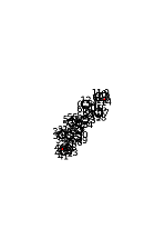 c1ccc2c(C3C4CC5CC(C4)CC3C5)c3ccccc3c(-c3ccc4sc5c(-c6c7ccccc7c(C7C8CC9CC(C8)CC7C9)c7ccccc67)cccc5c4c3)c2c1